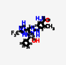 Cc1cc(Nc2ncc(-c3nc(C(F)(F)F)n[nH]3)c(N[C@H](CO)c3ccccc3)n2)ccc1C(N)=O